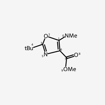 CNc1oc(C(C)(C)C)nc1C(=O)OC